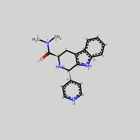 CN(C)C(=O)[C@H]1Cc2c([nH]c3ccccc23)[C@H](c2ccncc2)N1